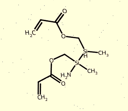 C=CC(=O)OC[SiH](C)[Si](C)(N)COC(=O)C=C